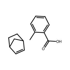 C1=CC2CCC1C2.Cc1ccccc1C(=O)O